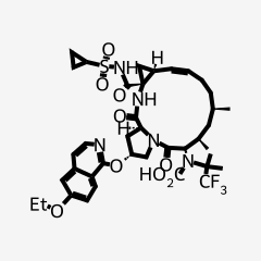 CCOc1ccc2c(O[C@@H]3C[C@H]4C(=O)N[C@]5(C(=O)NS(=O)(=O)C6CC6)C[C@H]5C=CCC[C@@H](C)C[C@@H](C)[C@H](N(C(=O)O)C(C)(C)C(F)(F)F)C(=O)N4C3)nccc2c1